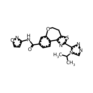 CC(C)n1cnnc1-c1nc2c(s1)CCOc1cc(C(=O)Nc3ccon3)ccc1-2